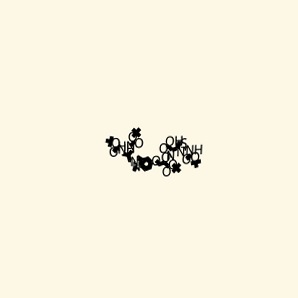 C[n+]1c2ccc(OCC(O/N=C(\C(=O)O)c3csc(NC(=O)OC(C)(C)C)n3)C(=O)OC(C)(C)C)cc2cn1CC(CNC(=O)OC(C)(C)C)CNC(=O)OC(C)(C)C